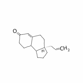 C=CC[C@]12CCCC1C1CCC(=O)C=C1CC2